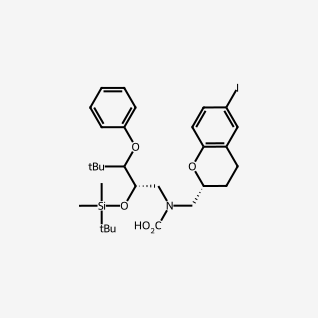 CC(C)(C)C(Oc1ccccc1)[C@H](CN(C[C@H]1CCc2cc(I)ccc2O1)C(=O)O)O[Si](C)(C)C(C)(C)C